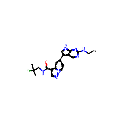 CC(C)CNc1ncc2c(-c3ccn4ncc(C(=O)NCC(C)(C)F)c4c3)c[nH]c2n1